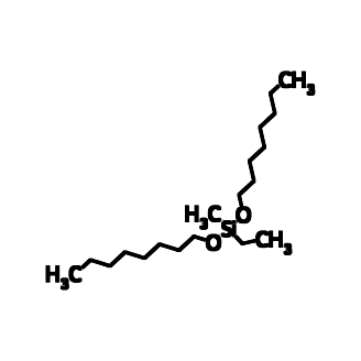 CCCCCCCCO[Si](C)(CC)OCCCCCCCC